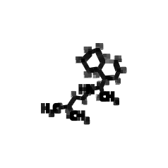 CC(C)CCNC(C)c1cccc2ccccc12